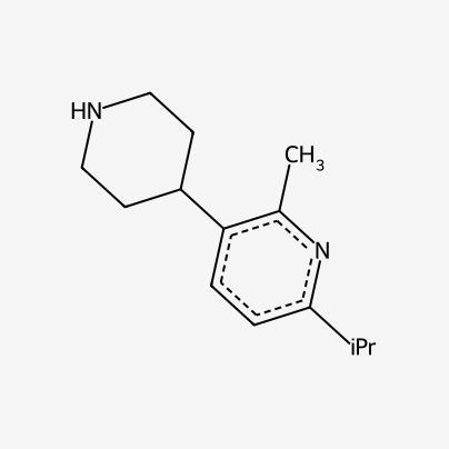 Cc1nc(C(C)C)ccc1C1CCNCC1